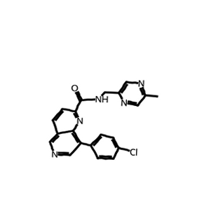 Cc1cnc(CNC(=O)c2ccc3cncc(-c4ccc(Cl)cc4)c3n2)cn1